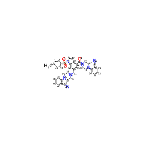 Cc1ccc(S(=O)(=O)n2ccc3c(C(=O)N4CCN(c5ccccc5C#N)CC4)cc(CN4CCN(c5ccccc5C#N)CC4)cc32)cc1